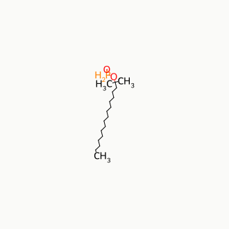 CCCCCCCCCCCCCCCC(C)(C)O[PH2]=O